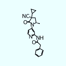 C[C@@H]1C[C@@](C#N)(C2CC2)C(=O)N1c1ccnc(NC(=O)Cc2ccccc2)c1